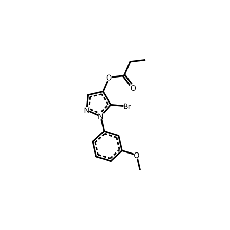 CCC(=O)Oc1cnn(-c2cccc(OC)c2)c1Br